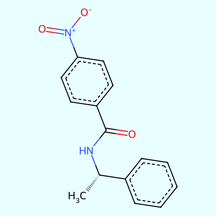 C[C@H](NC(=O)c1ccc([N+](=O)[O-])cc1)c1ccccc1